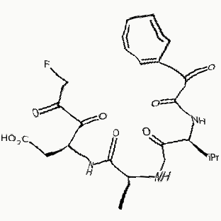 CC(C)[C@H](NC(=O)C(=O)c1ccccc1)C(=O)N[C@@H](C)C(=O)N[C@@H](CC(=O)O)C(=O)C(=O)CF